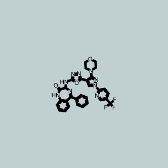 O=C1Nc2ccccc2C(c2ccccc2)=NC1Nc1nnc(-c2cn(-c3ccc(C(F)(F)F)cn3)nc2N2CCOCC2)o1